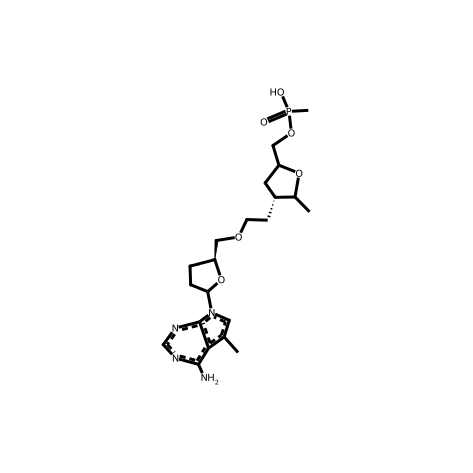 Cc1cn(C2CC[C@@H](COCC[C@@H]3CC(COP(C)(=O)O)OC3C)O2)c2ncnc(N)c12